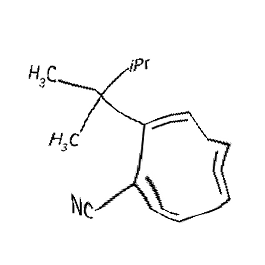 CC(C)C(C)(C)c1ccccc1C#N